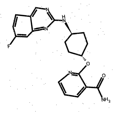 NC(=O)c1cccnc1O[C@H]1CC[C@H](Nc2ncc3ccc(F)cc3n2)CC1